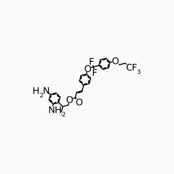 [CH2]C(COC(=O)/C=C/c1ccc(OC(F)(F)c2ccc(OCCC(F)(F)F)cc2)cc1)c1ccc(N)cc1N